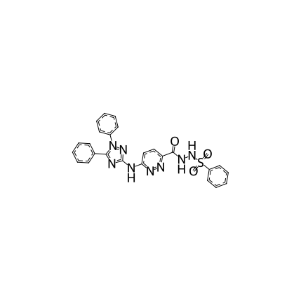 O=C(NNS(=O)(=O)c1ccccc1)c1ccc(Nc2nc(-c3ccccc3)n(-c3ccccc3)n2)nn1